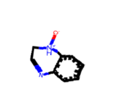 [O-][NH+]1CC=Nc2ccccc21